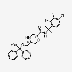 CC(C)(NC(=O)[C@@H]1CN[C@H](CO[Si](c2ccccc2)(c2ccccc2)C(C)(C)C)CO1)c1ccc(Cl)c(F)c1F